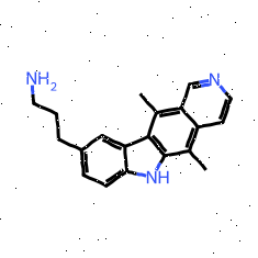 Cc1c2ccncc2c(C)c2c1[nH]c1ccc(CCCN)cc12